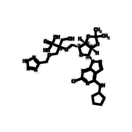 CC1(C)O[C@@H]2[C@H](O1)[C@@H](CO[C@](CO)(COCc1nn[nH]n1)P(=O)(O)O)O[C@H]2n1ncc2c(NC3CCCC3)nc(Cl)nc21